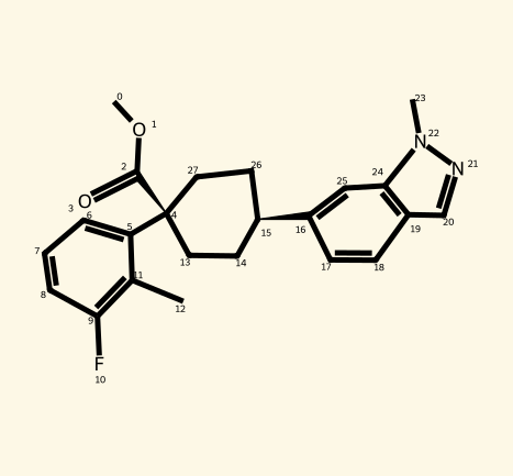 COC(=O)[C@]1(c2cccc(F)c2C)CC[C@H](c2ccc3cnn(C)c3c2)CC1